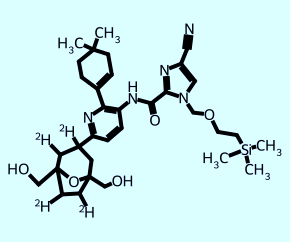 [2H]C1C([2H])C2(CO)OC1(CO)CC([2H])(c1ccc(NC(=O)c3nc(C#N)cn3COCC[Si](C)(C)C)c(C3=CCC(C)(C)CC3)n1)C2[2H]